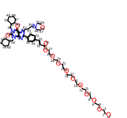 COCCOCCOCCOCCOCCOCCOCCOCCOCCOC(=O)/C=C/c1ccc(-c2nc3c(c(=O)n(CC4CCCCC4)c(=O)n3CC3CCCCC3)n2CCCN2CCOCC2)cc1